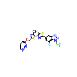 Cc1nc(COc2cccnn2)sc1-c1csc(-c2cc(F)c3c(c2)nnn3SF)n1